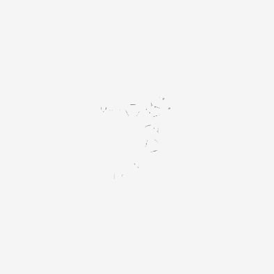 COc1ccc(-n2nc(S(C)(=O)=O)c3c2C(=O)N(c2ccc(C4(CN5CC[C@@H](O)C5)CC4)cc2)CC3)cc1